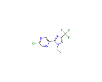 CCn1cc(C(F)(F)F)nc1-c1cnc(Cl)cn1